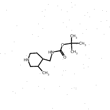 CC1CNCCC1CNC(=O)OC(C)(C)C